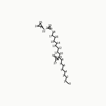 CCCCCCCCCC(CCCCCCCCC[C@H]1C[C@H]1CC1CC1)N(C)C